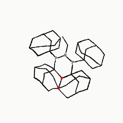 CCN(P(C12CC3CC(CC(C3)C1)C2)C12CC3CC(CC(C3)C1)C2)P(C12CC3CC(CC(C3)C1)C2)C12CC3CC(CC(C3)C1)C2